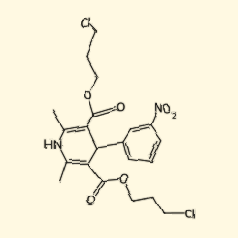 CC1=C(C(=O)OCCCCl)C(c2cccc([N+](=O)[O-])c2)C(C(=O)OCCCCl)=C(C)N1